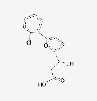 O=C(O)CC(O)c1ccc(-c2ccccc2Cl)o1